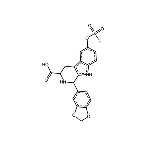 O=C(O)C1Cc2c([nH]c3ccc(OS(=O)(=O)F)cc23)C(c2ccc3c(c2)OCO3)N1